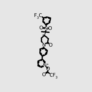 CC(C)([C@@H]1CCN(c2ccc(-c3ccc[n+](OC(=O)C(F)(F)F)c3)cc2)C(=O)C1)S(=O)(=O)c1cccc(C(F)(F)F)c1